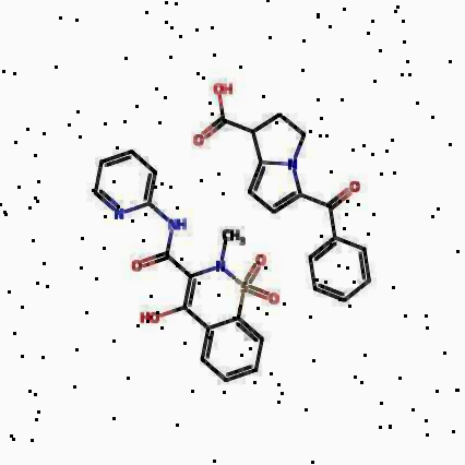 CN1C(C(=O)Nc2ccccn2)=C(O)c2ccccc2S1(=O)=O.O=C(c1ccccc1)c1ccc2n1CCC2C(=O)O